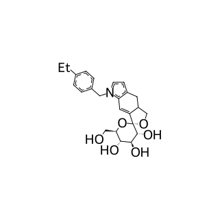 CCc1ccc(Cn2ccc3c2C=C2C(CO[C@]24O[C@H](CO)[C@@H](O)[C@H](O)[C@H]4O)C3)cc1